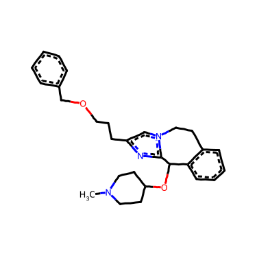 CN1CCC(OC2c3ccccc3CCn3cc(CCCOCc4ccccc4)nc32)CC1